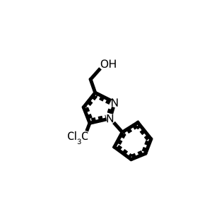 OCc1cc(C(Cl)(Cl)Cl)n(-c2ccccc2)n1